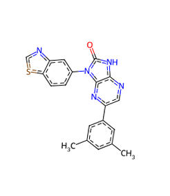 Cc1cc(C)cc(-c2cnc3[nH]c(=O)n(-c4ccc5scnc5c4)c3n2)c1